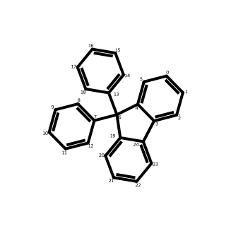 [c]1c[c]c2c(c1)C(c1ccccc1)(c1ccccc1)c1ccccc1-2